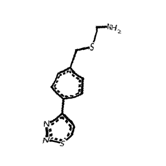 NCSCc1ccc(-c2csnn2)cc1